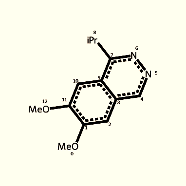 COc1cc2cnnc(C(C)C)c2cc1OC